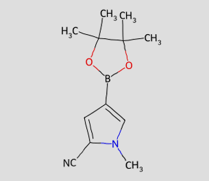 Cn1cc(B2OC(C)(C)C(C)(C)O2)cc1C#N